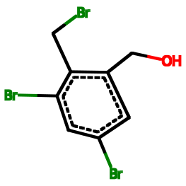 OCc1cc(Br)cc(Br)c1CBr